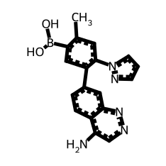 Cc1cc(-n2cccn2)c(-c2ccc3c(N)cnnc3c2)cc1B(O)O